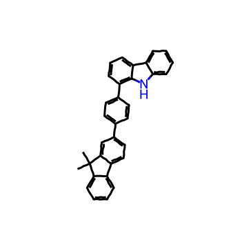 CC1(C)c2ccccc2-c2ccc(-c3ccc(-c4cccc5c4[nH]c4ccccc45)cc3)cc21